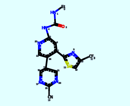 CCNC(=O)Nc1cc(-c2nc(C(F)(F)F)cs2)c(-c2cnc(C#N)nc2)cn1